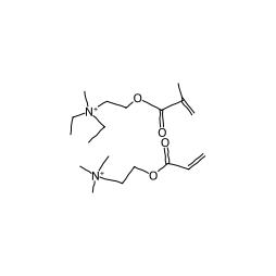 C=C(C)C(=O)OCC[N+](C)(CC)CC.C=CC(=O)OCC[N+](C)(C)C